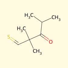 CC(C)C(=O)C(C)(C)C=S